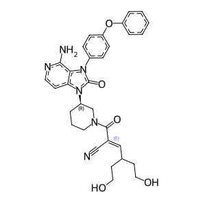 N#C/C(=C\C(CCO)CCO)C(=O)N1CCC[C@@H](n2c(=O)n(-c3ccc(Oc4ccccc4)cc3)c3c(N)nccc32)C1